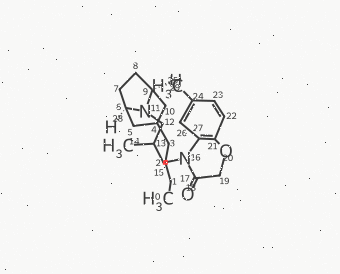 CCCCC1C[C@H]2CC[C@@H](C1)N2CC(C)CN1C(=O)COc2ccc(C)cc21